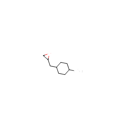 CCCCC1CCC(CC2CO2)CC1